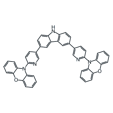 c1ccc2c(c1)Oc1ccccc1N2c1ccc(-c2ccc3[nH]c4ccc(-c5ccc(N6c7ccccc7Oc7ccccc76)nc5)cc4c3c2)cn1